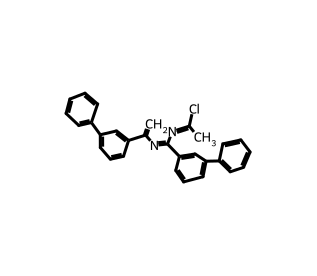 C=C(/N=C(\N=C(/C)Cl)c1cccc(-c2ccccc2)c1)c1cccc(-c2ccccc2)c1